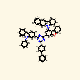 c1ccc(-c2ccc(-c3nc(-c4cc(-n5c6ccccc6c6cc7ccccc7cc65)c5c(c4)oc4ccccc45)nc(-c4ccc5c6ccccc6n(-c6ccccc6)c5c4)n3)cc2)cc1